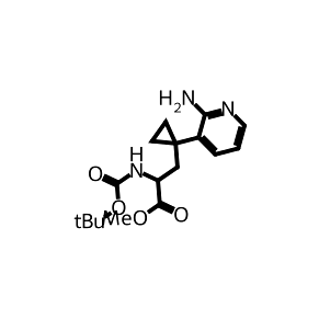 COC(=O)C(CC1(c2cccnc2N)CC1)NC(=O)OC(C)(C)C